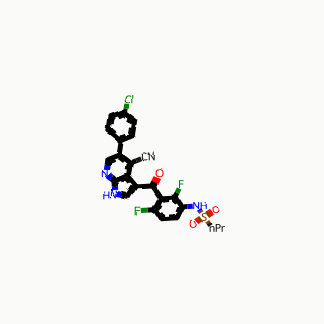 CCCS(=O)(=O)Nc1ccc(F)c(C(=O)c2c[nH]c3ncc(-c4ccc(Cl)cc4)c(C#N)c23)c1F